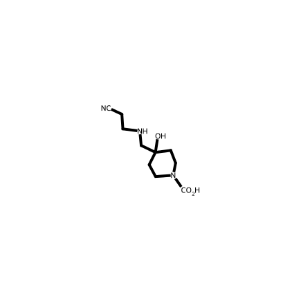 N#CCCNCC1(O)CCN(C(=O)O)CC1